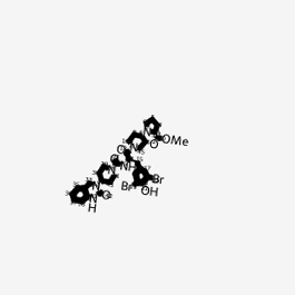 COC(=O)[C@@H]1CCCN1C1CCN(C(=O)[C@@H](Cc2cc(Br)c(O)c(Br)c2)NC(=O)N2CCC(N3Cc4ccccc4NC3=O)CC2)CC1